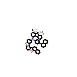 CC1(C)c2ccccc2-c2c(N(c3ccc(-c4cccc5ccccc45)cc3)c3ccc4sc5ccc6oc7c8ccccc8ccc7c6c5c4c3)cccc21